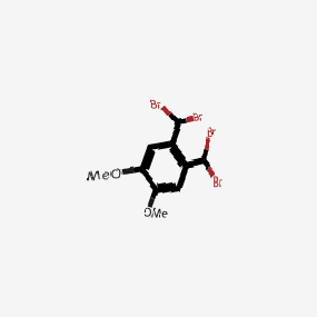 COc1cc(C(Br)Br)c(C(Br)Br)cc1OC